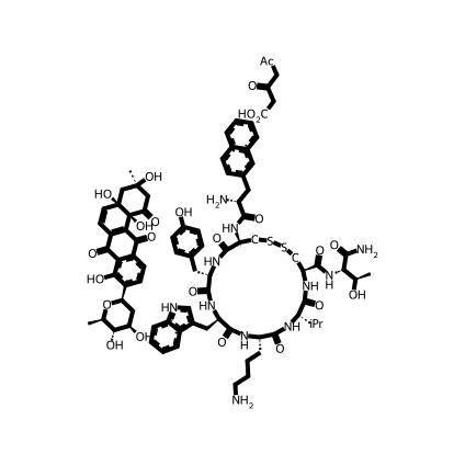 CC(=O)CC(=O)CC(=O)O.CC(C)[C@@H]1NC(=O)[C@H](CCCCN)NC(=O)[C@@H](Cc2c[nH]c3ccccc23)NC(=O)[C@H](Cc2ccc(O)cc2)NC(=O)[C@@H](NC(=O)[C@H](N)Cc2ccc3ccccc3c2)CSSC[C@@H](C(=O)N[C@H](C(N)=O)[C@@H](C)O)NC1=O.C[C@H]1O[C@@H](c2ccc3c(c2O)C(=O)C2=C(C3=O)[C@@]3(O)C(=O)C[C@](C)(O)C[C@@]3(O)C=C2)C[C@@H](O)[C@@H]1O